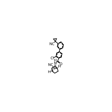 N#CN1[C@H]2CC[C@@H]1[C@H](NC(=O)c1ccc(-c3cccc(C4(C#N)CC4)c3)cc1Cl)C2